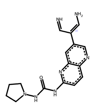 N=C/C(=C\N)c1cnc2ccc(NC(=O)NN3CCCC3)nc2c1